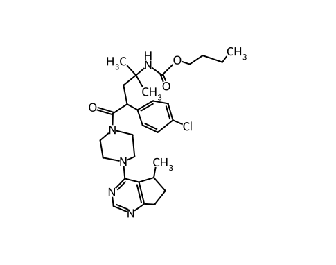 CCCCOC(=O)NC(C)(C)CC(C(=O)N1CCN(c2ncnc3c2C(C)CC3)CC1)c1ccc(Cl)cc1